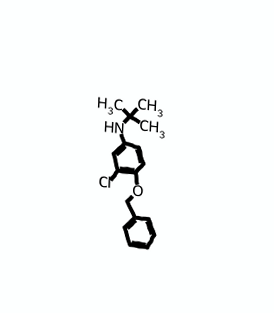 CC(C)(C)Nc1ccc(OCc2ccccc2)c(Cl)c1